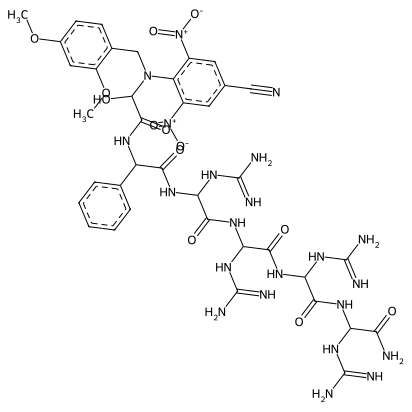 COc1ccc(CN(c2c([N+](=O)[O-])cc(C#N)cc2[N+](=O)[O-])C(O)C(=O)NC(C(=O)NC(NC(=N)N)C(=O)NC(NC(=N)N)C(=O)NC(NC(=N)N)C(=O)NC(NC(=N)N)C(N)=O)c2ccccc2)c(OC)c1